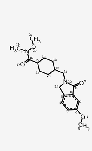 COc1ccc2c(c1)C(=O)N(CC1CCC(C(=O)N(C)OC)CC1)C2